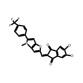 Cn1c(-c2ccc(C(F)(F)F)cc2)cc2oc(C=C3C(=O)c4cc(Cl)c(Cl)cc4C3=O)cc21